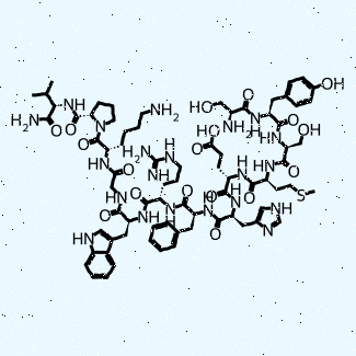 CSCC[C@H](NC(=O)[C@H](CO)NC(=O)[C@H](Cc1ccc(O)cc1)NC(=O)[C@@H](N)CO)C(=O)N[C@@H](CCC(=O)O)C(=O)N[C@@H](Cc1c[nH]cn1)C(=O)N[C@@H](Cc1ccccc1)C(=O)N[C@@H](CCCNC(=N)N)C(=O)N[C@@H](Cc1c[nH]c2ccccc12)C(=O)NCC(=O)N[C@@H](CCCCN)C(=O)N1CCC[C@H]1C(=O)N[C@H](C(N)=O)C(C)C